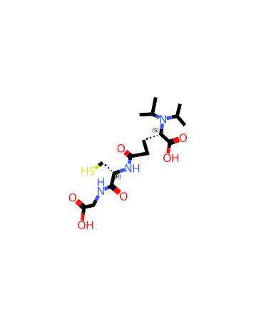 CC(C)N(C(C)C)[C@@H](CCC(=O)N[C@@H](CS)C(=O)NCC(=O)O)C(=O)O